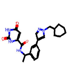 CC(NC(=O)c1cc(=O)[nH]c(=O)[nH]1)c1cccc(-c2cnn(CC3CCCCC3)c2)c1